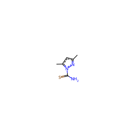 Cc1cc(C)n(C(N)=S)n1